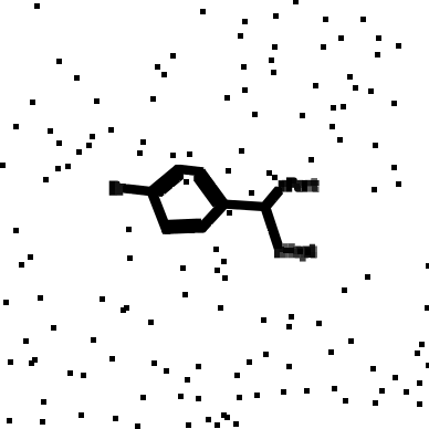 CCCCCCCC(CCCCC)c1ccc(Br)cc1